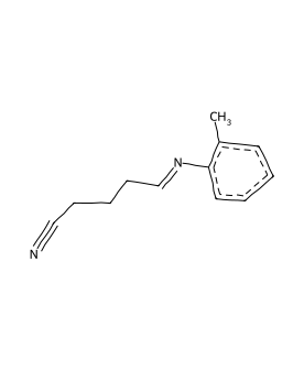 Cc1ccccc1N=CCCCC#N